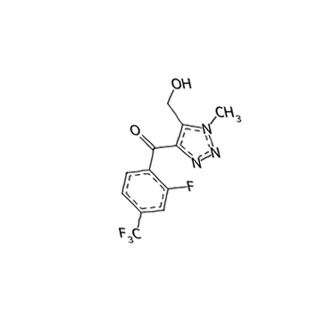 Cn1nnc(C(=O)c2ccc(C(F)(F)F)cc2F)c1CO